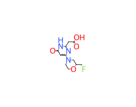 O=C(O)Cc1nc(N2CCOC(CF)C2)cc(=O)[nH]1